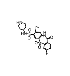 CC(C)c1cc2c(cc1S(=O)(=O)NC1CCNCC1)S(=O)(=O)c1cc(F)ccc1C(=O)N2